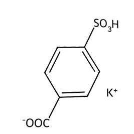 O=C([O-])c1ccc(S(=O)(=O)O)cc1.[K+]